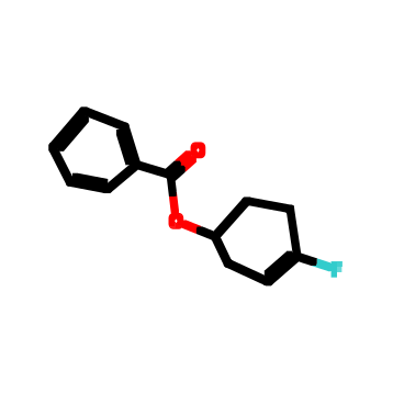 O=C(OC1CC=C(F)CC1)c1ccccc1